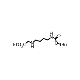 CCOC(=O)CNCCCCNC(=O)OC(C)(C)C